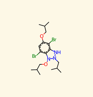 CC(C)COc1cc(Br)c2c(c1Br)NN(CC(C)C)N2OCC(C)C